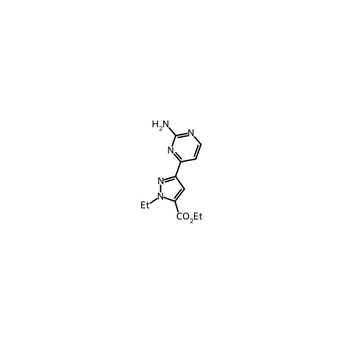 CCOC(=O)c1cc(-c2ccnc(N)n2)nn1CC